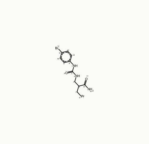 CC(C)CC(CNC(=O)Nc1ccc(Br)cc1)C(N)=O